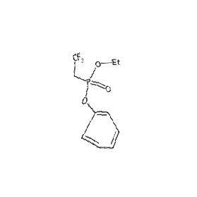 CCOP(=O)(CC(F)(F)F)Oc1ccccc1